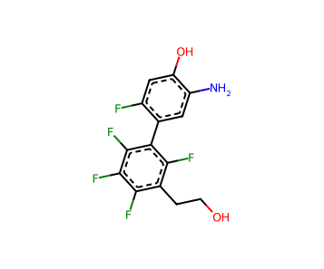 Nc1cc(-c2c(F)c(F)c(F)c(CCO)c2F)c(F)cc1O